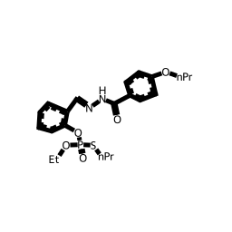 CCCOc1ccc(C(=O)NN=Cc2ccccc2OP(=O)(OCC)SCCC)cc1